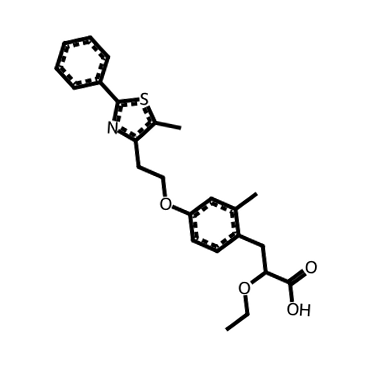 CCOC(Cc1ccc(OCCc2nc(-c3ccccc3)sc2C)cc1C)C(=O)O